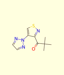 CC(C)(C)C(=O)c1nscc1-n1nccn1